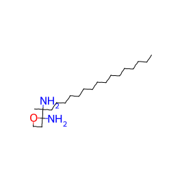 CCCCCCCCCCCCCCCCC(C)(N)C1(N)CCO1